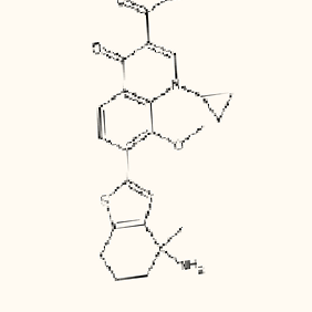 COc1c(-c2cc3c(s2)CCCC3(C)N)ccc2c(=O)c(C(=O)O)cn(C3CC3)c12